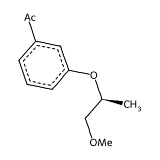 COC[C@H](C)Oc1cccc(C(C)=O)c1